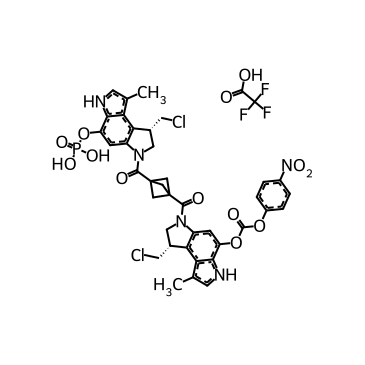 Cc1c[nH]c2c(OC(=O)Oc3ccc([N+](=O)[O-])cc3)cc3c(c12)[C@H](CCl)CN3C(=O)C12CC(C(=O)N3C[C@@H](CCl)c4c3cc(OP(=O)(O)O)c3[nH]cc(C)c43)(C1)C2.O=C(O)C(F)(F)F